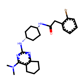 CN(C)c1nc(N[C@H]2CC[C@@H](NC(=O)Cc3ccccc3Br)CC2)nc2c1CCCC2